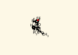 COCCN(C)c1cc(-c2ccccc2C)c(N(C)C(=O)c2cc(C(F)(F)F)cc(C(F)(F)F)c2)cn1